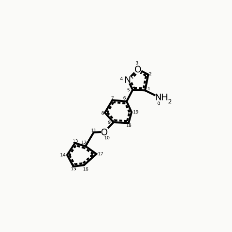 Nc1conc1-c1ccc(OCc2ccccc2)cc1